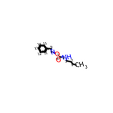 CCCCNC(=O)ON=Cc1ccccc1